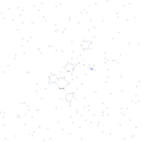 Cn1cc(-c2cn3nccc3c(-c3cnn(C4(CC#N)CC(c5ccn[nH]5)C4)c3)n2)cn1